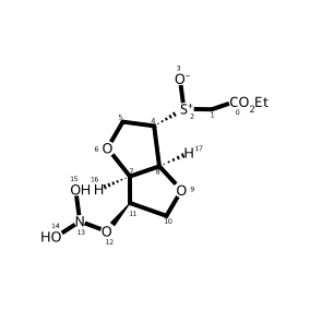 CCOC(=O)C[S+]([O-])[C@H]1CO[C@H]2[C@@H]1OC[C@H]2ON(O)O